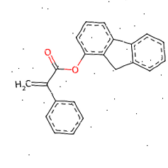 C=C(C(=O)Oc1cccc2c1Cc1ccccc1-2)c1ccccc1